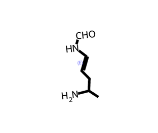 CC(N)C/C=C/NC=O